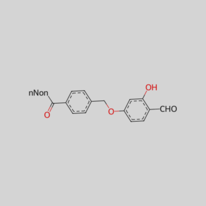 CCCCCCCCCC(=O)c1ccc(COc2ccc(C=O)c(O)c2)cc1